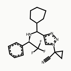 N#CC1(n2cc(C(N[C@H](c3ccccc3)C(F)(F)F)C3CCCCC3)nn2)CC1